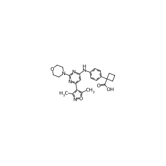 Cc1noc(C)c1-c1cc(Nc2ccc(C3(C(=O)O)CCC3)cc2)nc(N2CCOCC2)n1